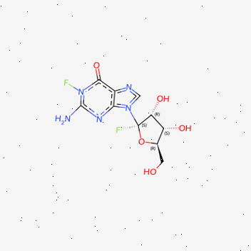 Nc1nc2c(ncn2[C@]2(F)O[C@H](CO)[C@@H](O)[C@H]2O)c(=O)n1F